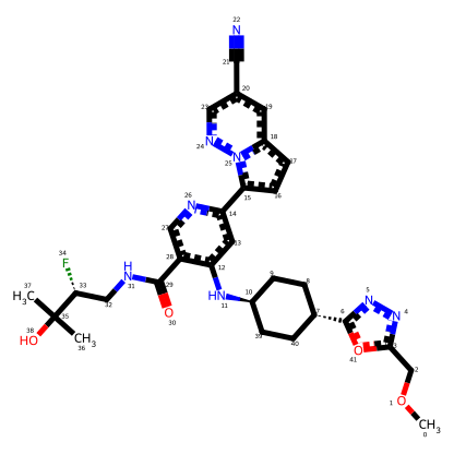 COCc1nnc([C@H]2CC[C@H](Nc3cc(-c4ccc5cc(C#N)cnn45)ncc3C(=O)NC[C@@H](F)C(C)(C)O)CC2)o1